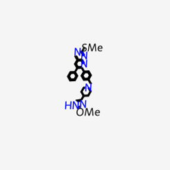 COc1nc(C2CCN(Cc3ccc(-c4nc5nc(SC)ncc5cc4-c4ccccc4)cc3)CC2)c[nH]1